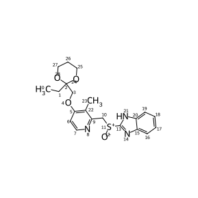 CCC1(COc2ccnc(C[S+]([O-])c3nc4ccccc4[nH]3)c2C)OCCCO1